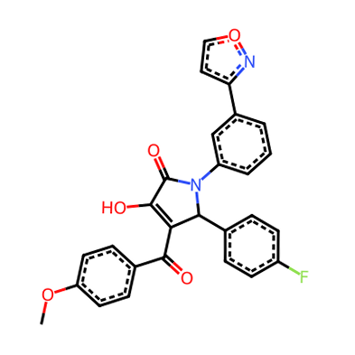 COc1ccc(C(=O)C2=C(O)C(=O)N(c3cccc(-c4ccon4)c3)C2c2ccc(F)cc2)cc1